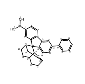 OB(O)c1ccc2c(c1)C1(c3ccc(-c4ccccc4)cc3-2)C2CCC3CCC(C2)CC31